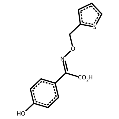 O=C(O)C(=NOCc1cccs1)c1ccc(O)cc1